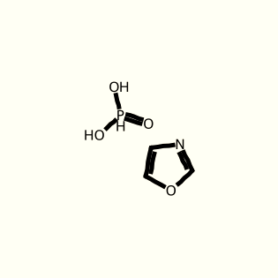 O=[PH](O)O.c1cocn1